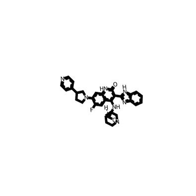 O=c1[nH]c2cc(N3CCC(c4ccncc4)C3)c(F)cc2c(N[C@H]2CN3CCC2CC3)c1-c1nc2ccccc2[nH]1